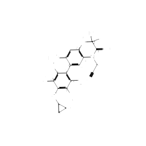 C#CCN1C(=O)C(F)(F)Oc2cc(P)c(-c3c(F)c(C)c(OC4CC4)c(F)c3F)cc21